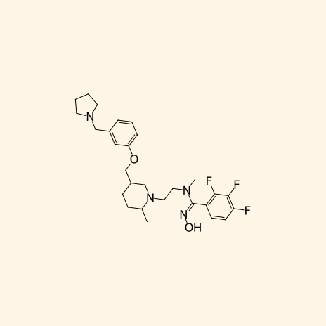 CC1CCC(COc2cccc(CN3CCCC3)c2)CN1CCN(C)C(=NO)c1ccc(F)c(F)c1F